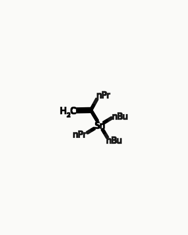 C=[C](CCC)[Sn]([CH2]CC)([CH2]CCC)[CH2]CCC